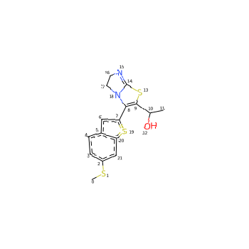 CSc1ccc2cc(C3=C(C(C)O)SC4=NCCN43)sc2c1